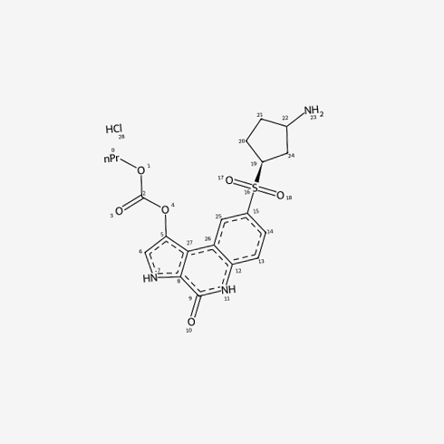 CCCOC(=O)Oc1c[nH]c2c(=O)[nH]c3ccc(S(=O)(=O)[C@H]4CCC(N)C4)cc3c12.Cl